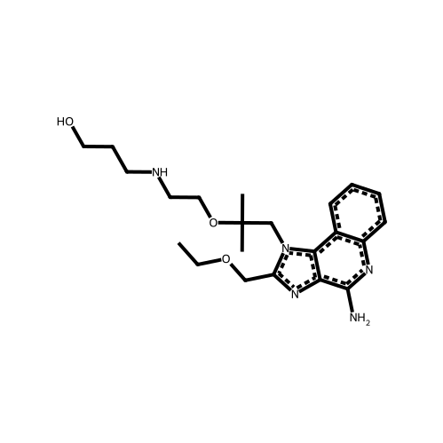 CCOCc1nc2c(N)nc3ccccc3c2n1CC(C)(C)OCCNCCCO